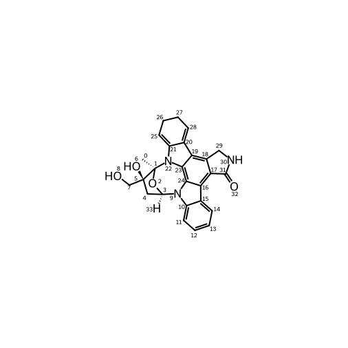 C[C@]12O[C@H](C[C@]1(O)CO)n1c3ccccc3c3c4c(c5c6c(n2c5c31)=CCCC=6)CNC4=O